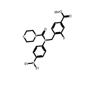 CCN(CC)c1ccc(N(Cc2ccc(C(=O)OC)cc2F)C(=O)N2CCSCC2)cc1